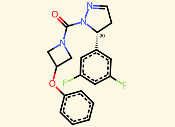 O=C(N1CC(Oc2ccccc2)C1)N1N=CC[C@@H]1c1cc(F)cc(F)c1